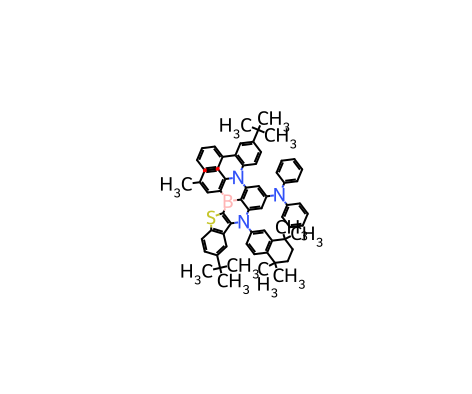 Cc1ccc2c(c1)B1c3sc4ccc(C(C)(C)C)cc4c3N(c3ccc4c(c3)C(C)(C)CCC4(C)C)c3cc(N(c4ccccc4)c4ccccc4)cc(c31)N2c1ccc(C(C)(C)C)cc1-c1ccccc1